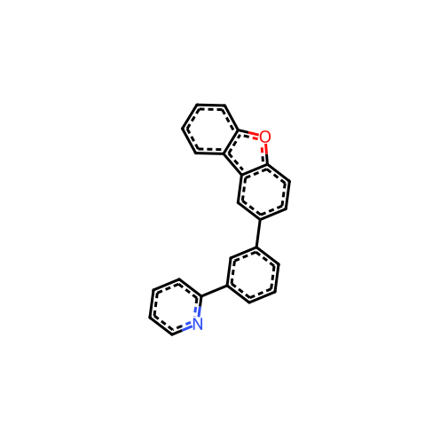 c1ccc(-c2cccc(-c3ccc4oc5ccccc5c4c3)c2)nc1